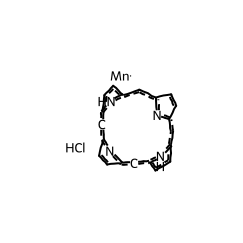 C1=Cc2cc3ccc(cc4nc(cc5ccc(cc1n2)[nH]5)C=C4)[nH]3.Cl.[Mn]